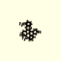 O=C(C(Cc1ccccc1C(F)(F)F)C1CCNCC1)C(Cc1ccccc1C(F)(F)F)C1CCNCC1